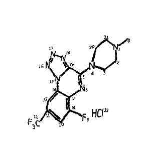 CN1CCN(c2nc3c(F)cc(C(F)(F)F)cc3n3nnnc23)CC1.Cl